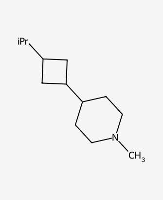 CC(C)C1CC(C2CCN(C)CC2)C1